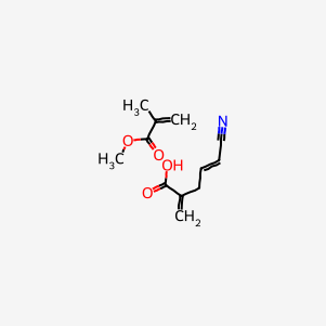 C=C(C)C(=O)OC.C=C(CC=CC#N)C(=O)O